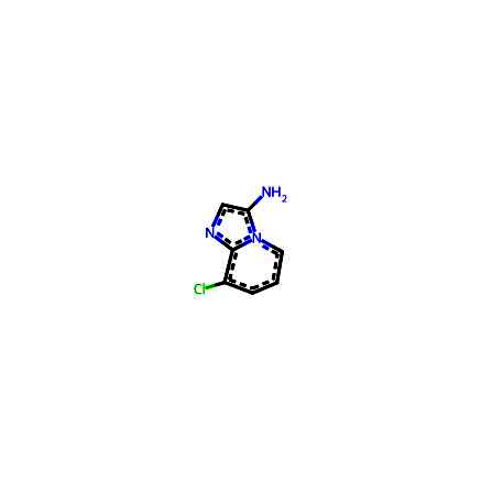 Nc1cnc2c(Cl)cccn12